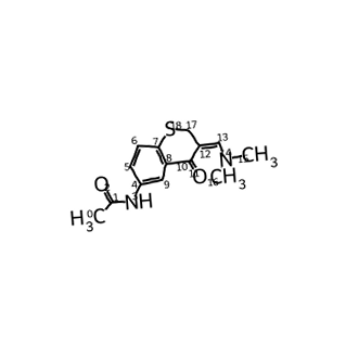 CC(=O)Nc1ccc2c(c1)C(=O)/C(=C\N(C)C)CS2